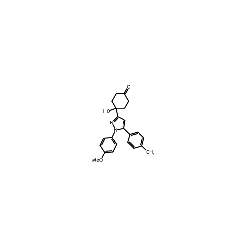 COc1ccc(-n2nc(C3(O)CCC(=O)CC3)cc2-c2ccc(C)cc2)cc1